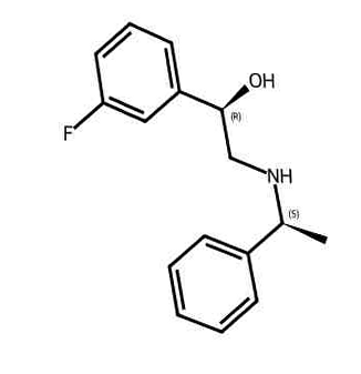 C[C@H](NC[C@H](O)c1cccc(F)c1)c1ccccc1